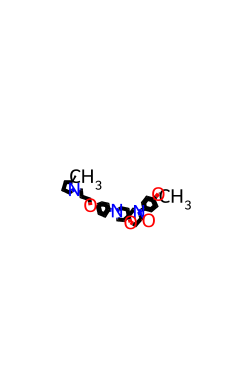 COc1ccc(N2CC3(CCN(c4ccc(OCCCN5CCC[C@H]5C)cc4)CC3)OCC2=O)cc1